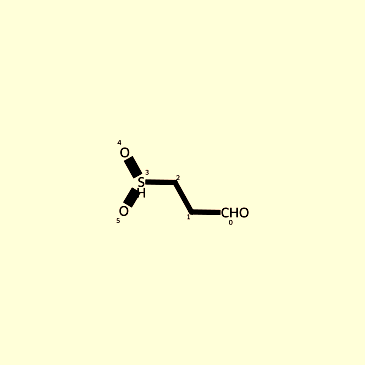 O=CCC[SH](=O)=O